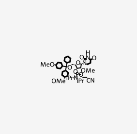 COc1ccc(C(OC[C@H]2O[C@@H](n3ccc(=O)[nH]c3=O)[C@H](OC)[C@@H]2OP(OCCC#N)N(C(C)C)C(C)C)(c2ccccc2)c2ccc(OC)cc2)cc1